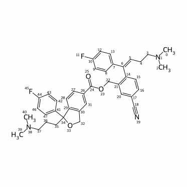 CN(C)CC/C=C(/c1ccc(F)cc1)c1ccc(C#N)cc1COC(=O)c1ccc2c(c1)COC2(CCCN(C)C)c1ccc(F)cc1